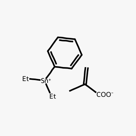 C=C(C)C(=O)[O-].C[CH2][Sn+]([CH2]C)[c]1ccccc1